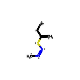 C=C(CC(C)C)S/N=N\C